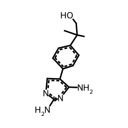 CC(C)(CO)c1ccc(-c2cnc(N)nc2N)cc1